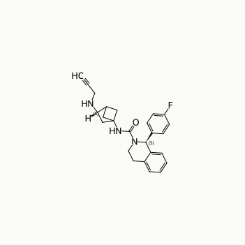 C#CCN[C@H]1CC2(NC(=O)N3CCc4ccccc4[C@@H]3c3ccc(F)cc3)CC1C2